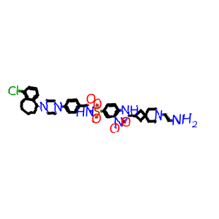 NCCN1CCC2(CC1)CC(CNc1ccc(S(=O)(=O)NC(=O)c3ccc(N4CCN([C@@H]5CCCCc6c(Cl)cccc65)CC4)cc3)cc1[N+](=O)[O-])C2